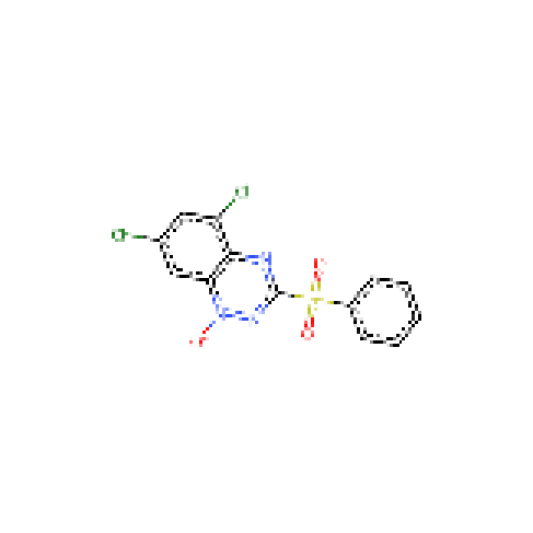 O=S(=O)(c1ccccc1)c1nc2c(Cl)cc(Cl)cc2[n+]([O-])n1